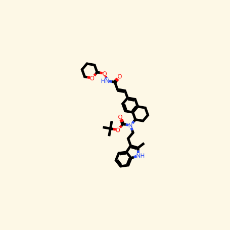 Cc1[nH]c2ccccc2c1CCN(C(=O)OC(C)(C)C)C1CCCc2cc(/C=C/C(=O)NOC3CCCCO3)ccc21